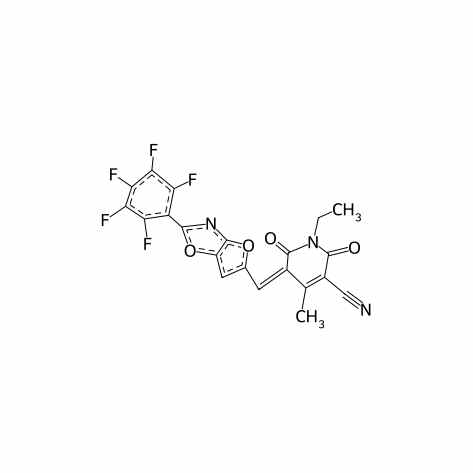 CCN1C(=O)C(C#N)=C(C)/C(=C/c2cc3oc(-c4c(F)c(F)c(F)c(F)c4F)nc3o2)C1=O